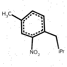 Cc1ccc(CC(C)C)c([N+](=O)[O-])c1